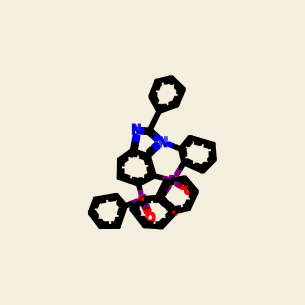 O=P(c1ccccc1)(c1ccccc1)c1ccc2nc(-c3ccccc3)n3c2c1P(=O)(c1ccccc1)c1ccccc1-3